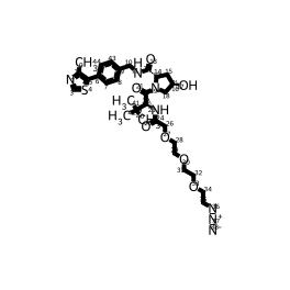 Cc1ncsc1-c1ccc(CNC(=O)[C@@H]2C[C@@H](O)CN2C(=O)[C@@H](NC(=O)COCCOCCOCCN=[N+]=[N-])C(C)(C)C)cc1